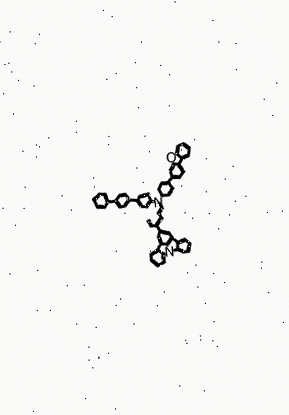 C=C/C(=C\C=C\N(c1ccc(-c2ccc(-c3ccccc3)cc2)cc1)C1C=CC(c2ccc3c(c2)oc2ccccc23)=CC1)c1cc2c3ccccc3n3c4ccccc4c(c1)c23